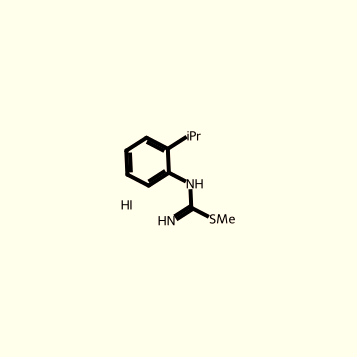 CSC(=N)Nc1ccccc1C(C)C.I